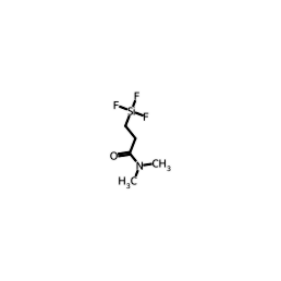 CN(C)C(=O)CC[Si](F)(F)F